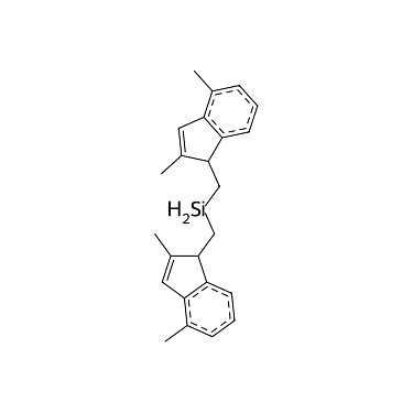 CC1=Cc2c(C)cccc2C1C[SiH2]CC1C(C)=Cc2c(C)cccc21